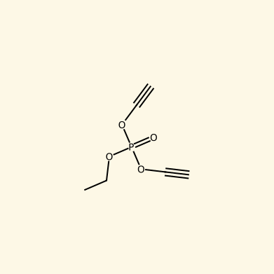 C#COP(=O)(OC#C)OCC